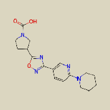 O=C(O)N1CCC(c2nc(-c3ccc(N4CCCCC4)nc3)no2)C1